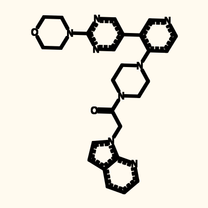 O=C(Cn1ccc2cccnc21)N1CCN(c2ccncc2-c2cnc(N3CCOCC3)nc2)CC1